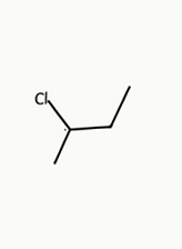 CC[C](C)Cl